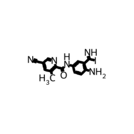 Cc1cc(C#N)cnc1C(=O)Nc1ccc(N)c(C(=N)I)c1